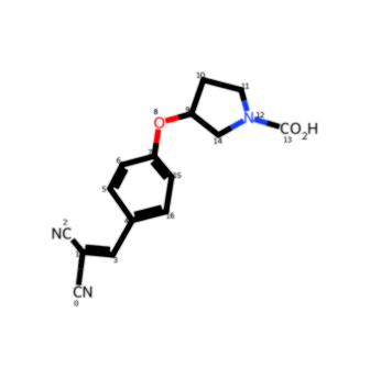 N#CC(C#N)=Cc1ccc(OC2CCN(C(=O)O)C2)cc1